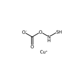 O=C([O-])ONS.[Cu+]